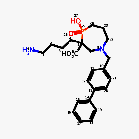 NCCCCC1(C(=O)O)CN(Cc2ccc(-c3ccccc3)cc2)CCCP1(=O)O